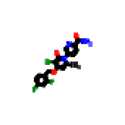 Cc1cc(OCc2ccc(F)cc2F)c(Br)c(=O)n1-c1ccc(C(N)=O)nc1